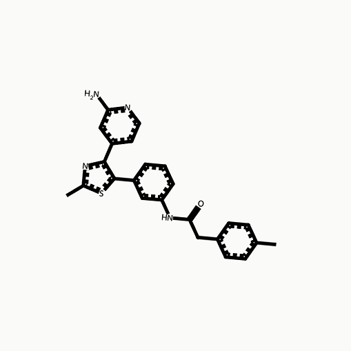 Cc1ccc(CC(=O)Nc2cccc(-c3sc(C)nc3-c3ccnc(N)c3)c2)cc1